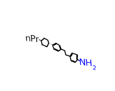 CCC[C@H]1CC[C@H](c2ccc(CCc3ccc(N)cc3)cc2)CC1